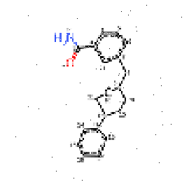 NC(=O)c1cccc(CC2CCC(c3ccccc3)CC2)c1